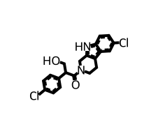 O=C(C(CO)c1ccc(Cl)cc1)N1CCc2c([nH]c3ccc(Cl)cc23)C1